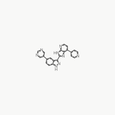 c1cc(-c2ccnc3[nH]c(-c4n[nH]c5ccc(-c6cncnc6)cc45)nc23)ccn1